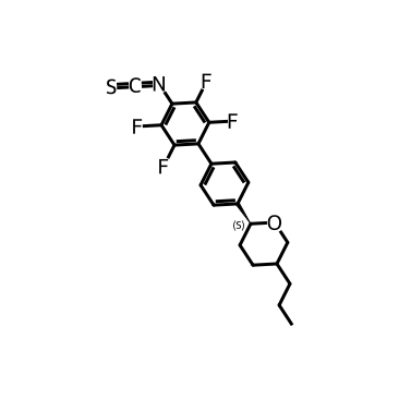 CCCC1CC[C@@H](c2ccc(-c3c(F)c(F)c(N=C=S)c(F)c3F)cc2)OC1